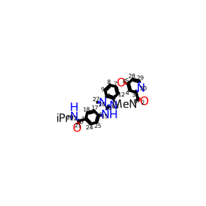 CNC(=O)c1cc(Oc2ccc3c(c2)nc(Nc2ccc(C(=O)NC(C)C)cc2)n3C)ccn1